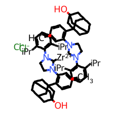 Cc1ccc(C23CC4CC(CC(O)(C4)C2)C3)c(N2CCN(c3c(C(C)C)cccc3C(C)C)[CH]2[Zr+2][CH]2N(c3cc(C)ccc3C34CC5CC(CC(O)(C5)C3)C4)CCN2c2c(C(C)C)cccc2C(C)C)c1.[Cl-].[Cl-]